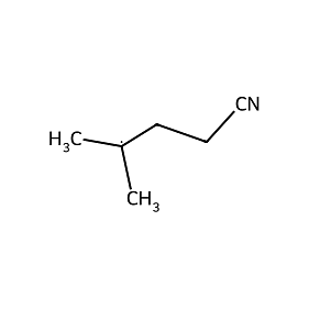 C[C](C)CCC#N